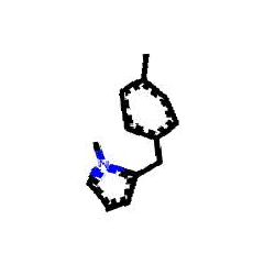 Cc1ccc(Cc2cccn2C)cc1